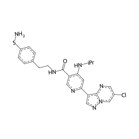 CC(C)Nc1cc(-c2cnn3cc(Cl)cnc23)ncc1C(=O)NCCc1ccc(SN)cc1